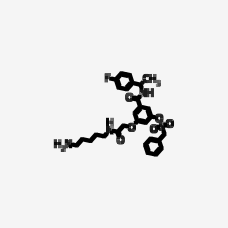 C[C@@H](NC(=O)c1cc(OCC(=O)NCCCCCN)cc(OS(=O)(=O)Cc2ccccc2)c1)c1ccc(F)cc1